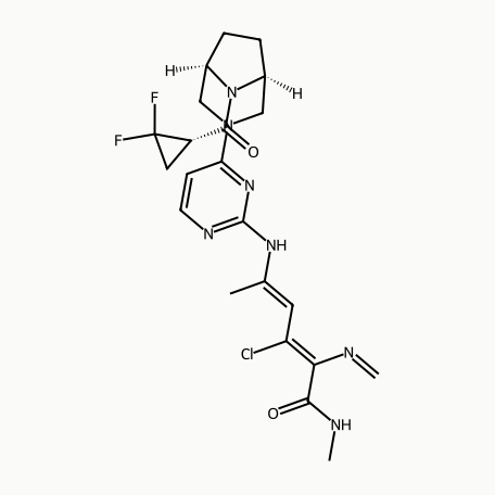 C=N/C(C(=O)NC)=C(Cl)\C=C(/C)Nc1nccc(N2C[C@H]3CC[C@@H](C2)N3C(=O)[C@@H]2CC2(F)F)n1